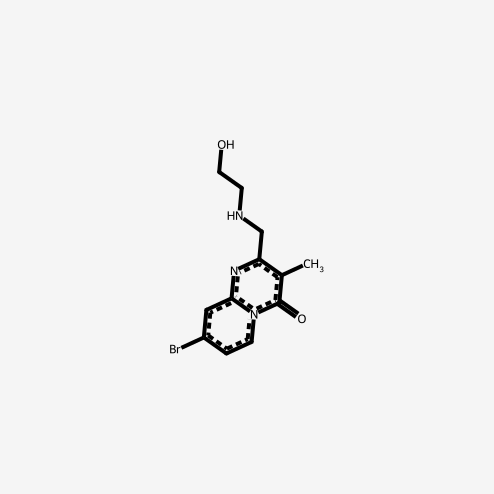 Cc1c(CNCCO)nc2cc(Br)ccn2c1=O